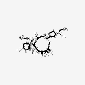 CCN(C)[C@H]1CC[C@@H]([C@@H]2COC(=O)C(C)(C)C(=O)[C@H](C)[C@@H](O[C@H]3C[C@@H](N(C)C)C[C@@H](C)O3)[C@](C)(OC)C[C@@H](C)CN2C)C1